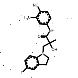 CC(O)(CN1CCc2cc(F)ccc21)C(=O)Nc1ccc(C#N)c(C(F)(F)F)c1